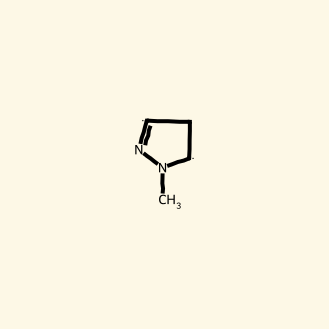 CN1[CH]C[C]=N1